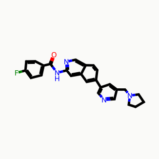 O=C(Nc1cc2cc(-c3cncc(CN4CCCC4)c3)ccc2cn1)c1ccc(F)cc1